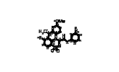 COc1cccc([C@H](C)c2c(F)ccc3c2NC(NCc2cccc(F)c2)=NS3(=O)=O)n1